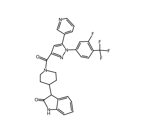 O=C1Nc2ccccc2C1C1CCN(C(=O)c2cc(-c3cccnc3)n(-c3ccc(C(F)(F)F)c(F)c3)n2)CC1